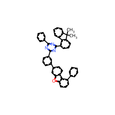 CC1(C)c2ccccc2-c2c(-c3nc(-c4ccccc4)nc(-c4cccc(-c5ccc6c(c5)oc5cccc(-c7ccccc7)c56)c4)n3)cccc21